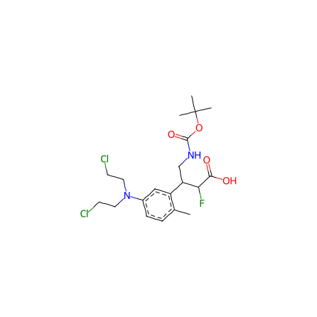 Cc1ccc(N(CCCl)CCCl)cc1C(CNC(=O)OC(C)(C)C)C(F)C(=O)O